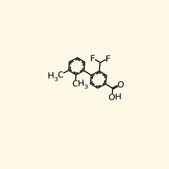 Cc1cccc(-c2ccc(C(=O)O)cc2C(F)F)c1C